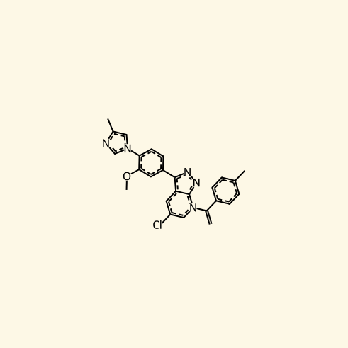 C=C(c1ccc(C)cc1)n1cc(Cl)cc2c(-c3ccc(-n4cnc(C)c4)c(OC)c3)nnc1-2